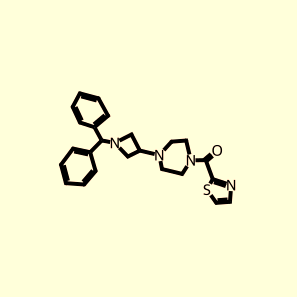 O=C(c1nccs1)N1CCN(C2CN(C(c3ccccc3)c3ccccc3)C2)CC1